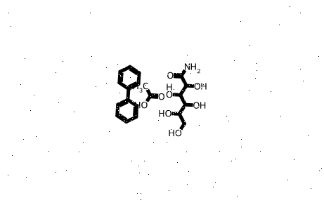 CC(=O)O.NC(=O)C(O)C(O)C(O)C(O)CO.c1ccc(-c2ccccc2)cc1